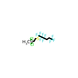 C[Si](Cl)(Cl)CCSC(F)(F)C(F)(F)C(F)(F)CCC(F)(F)F